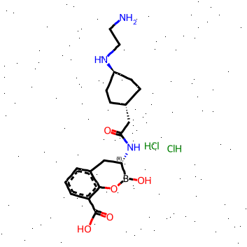 Cl.Cl.NCCN[C@H]1CC[C@H](CC(=O)N[C@H]2Cc3cccc(C(=O)O)c3OB2O)CC1